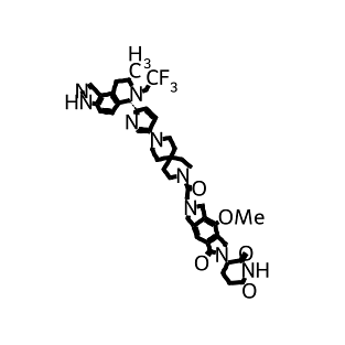 COc1c2c(cc3c1CN(C1CCC(=O)NC1=O)C3=O)CN(CC(=O)N1CCC3(CC1)CCN(c1ccc([C@@H]4c5ccc6[nH]ncc6c5C[C@@H](C)N4CC(F)(F)F)nc1)CC3)C2